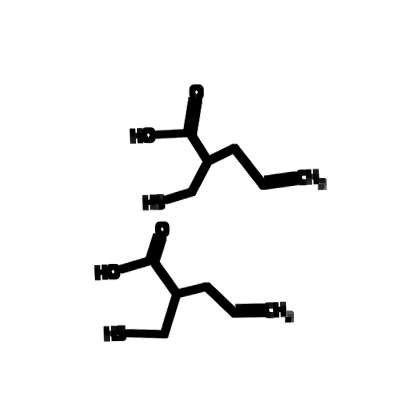 C=CCC(CS)C(=O)O.C=CCC(CS)C(=O)O